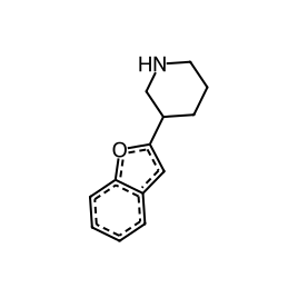 c1ccc2oc(C3CCCNC3)cc2c1